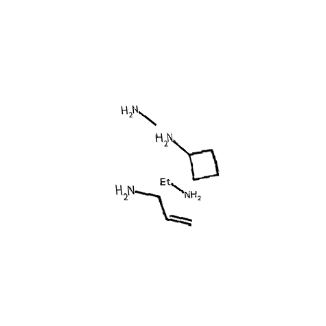 C=CCN.CCN.CN.NC1CCC1